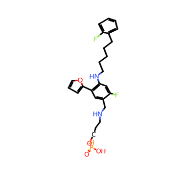 O=[PH](O)OCCCNCc1cc(-c2ccco2)c(NCCCCCc2ccccc2F)cc1F